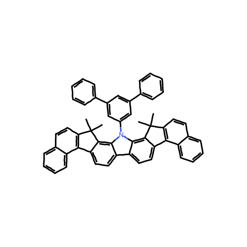 CC1(C)c2ccc3ccccc3c2-c2ccc3c4ccc5c(c4n(-c4cc(-c6ccccc6)cc(-c6ccccc6)c4)c3c21)C(C)(C)c1ccc2ccccc2c1-5